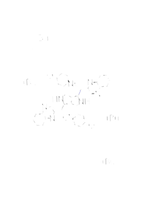 CC(CCC(COc1cccc(-c2[nH]/c(=C(/C#N)c3cnc4ccccc4n3)c3c(-c4cccc(OCC(CCC(C)CC(C)(C)C)C(C)CC(C)(C)C)c4)[nH]/c(=C(/C#N)c4cnc5ccccc5n4)c23)c1)C(C)CC(C)(C)C)CC(C)(C)C